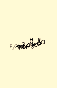 O=C(COc1ccc(Cl)c(F)c1)N[C@H]1CC[C@H](N2CCN(c3ccc(C(F)(F)F)nc3)C2=O)CC1